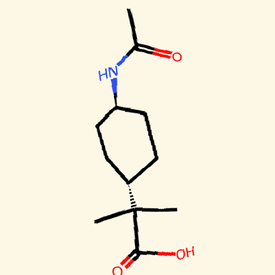 CC(=O)N[C@H]1CC[C@H](C(C)(C)C(=O)O)CC1